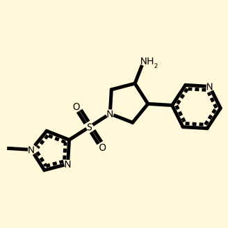 Cn1cnc(S(=O)(=O)N2CC(N)C(c3cccnc3)C2)c1